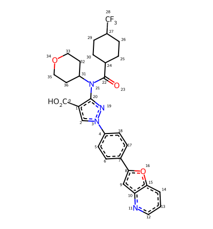 O=C(O)c1cn(-c2ccc(-c3cc4ncccc4o3)cc2)nc1N(C(=O)C1CCC(C(F)(F)F)CC1)C1CCOCC1